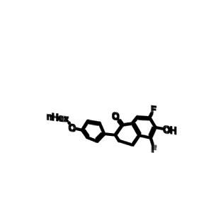 CCCCCCOc1ccc(C2CCc3c(cc(F)c(O)c3F)C2=O)cc1